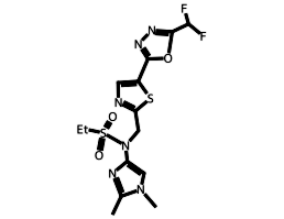 CCS(=O)(=O)N(Cc1ncc(-c2nnc(C(F)F)o2)s1)c1cn(C)c(C)n1